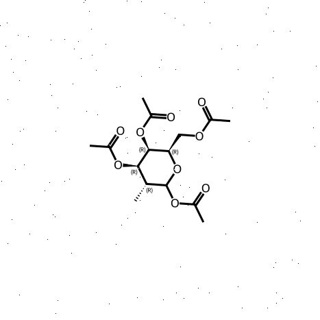 CC(=O)OC[C@H]1OC(OC(C)=O)[C@H](C)[C@@H](OC(C)=O)[C@H]1OC(C)=O